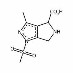 Cc1nn(S(C)(=O)=O)c2c1C(C(=O)O)NC2